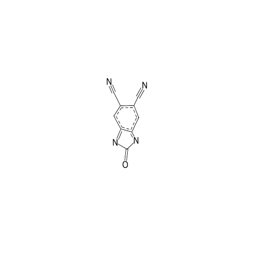 N#Cc1cc2c(cc1C#N)=NC(=O)N=2